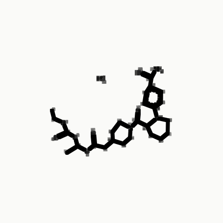 CCOC(=O)OC(C)OC(=O)CC1CCN(C(=O)C2CCCCN2c2ccc(C(=N)N)cc2)CC1.Cl